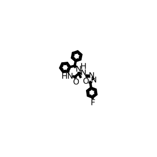 CC1(Nc2nnc(-c3ccc(F)cc3)o2)N=C(c2ccccc2)c2ccccc2NC1=O